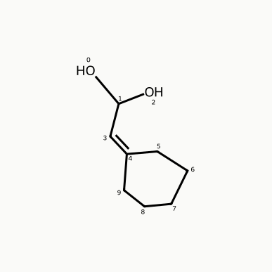 OC(O)C=C1CCCCC1